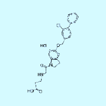 Cl.O=C(O)CCNCC(=O)N1CCc2cc(OCc3ccc(-c4ccccc4)c(Cl)c3)ccc21